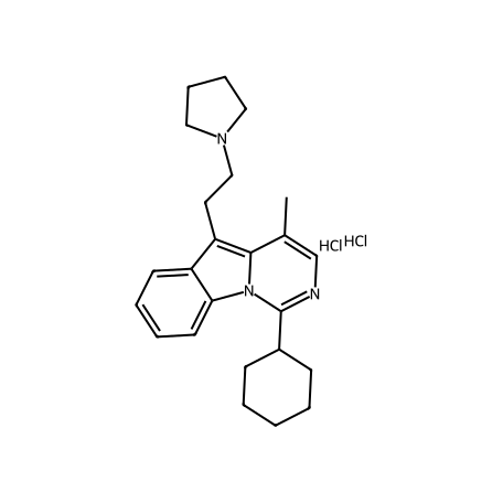 Cc1cnc(C2CCCCC2)n2c1c(CCN1CCCC1)c1ccccc12.Cl.Cl